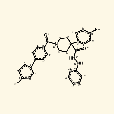 O=C(c1ccc(-c2ccc(F)cc2)cc1)N1CCC(C(=O)NNc2ccccc2)(c2ccc(F)cc2)CC1